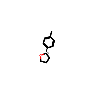 Cc1ccc([C@H]2CCCO2)cc1